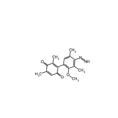 COc1c(C2=C(C)C(=O)C(C)=CC2=O)cc(C)c(N=N)c1C